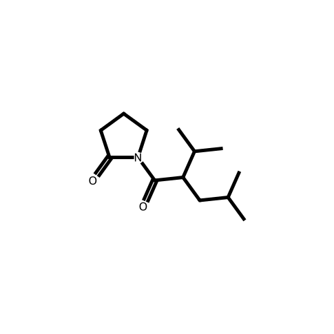 CC(C)CC(C(=O)N1CCCC1=O)C(C)C